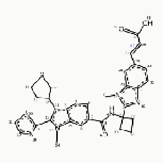 Cn1c(C2(NC(=O)c3ccc4c(C5CCCC5)c(-c5nccs5)n(C)c4c3)CCC2)nc2ccc(/C=C/C(=O)O)cc21